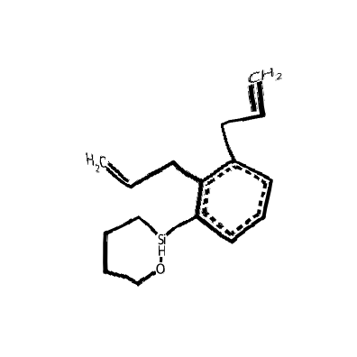 C=CCc1cccc([SiH]2CCCCO2)c1CC=C